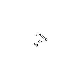 [Ag].[S]=[Cd].[Zn]